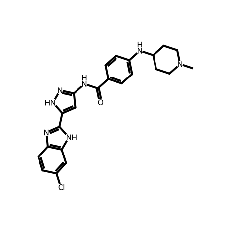 CN1CCC(Nc2ccc(C(=O)Nc3cc(-c4nc5ccc(Cl)cc5[nH]4)[nH]n3)cc2)CC1